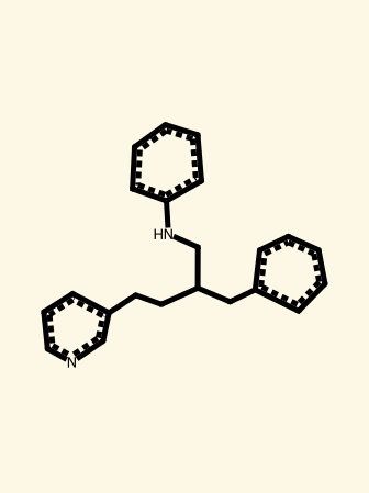 c1ccc(CC(CCc2cccnc2)CNc2ccccc2)cc1